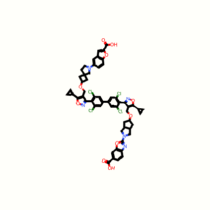 O=C(O)c1ccc2nc(N3CC4CC(OCc5c(-c6c(Cl)cc(-c7cc(Cl)c(-c8noc(C9CC9)c8COC8CC9(CCN(c%10ccc%11oc(C(=O)O)cc%11c%10)C9)C8)c(Cl)c7)cc6Cl)noc5C5CC5)CC4C3)oc2c1